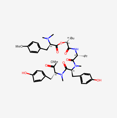 CC[C@@H](C)[C@H](OC(=O)[C@@H](Cc1ccc(OC)cc1)N(C)C)C(=O)N[C@@H](C(=O)N(C)[C@@H](Cc1ccc(O)cc1)C(=O)N(C)[C@H](Cc1ccc(O)cc1)C(=O)OC)C(C)C